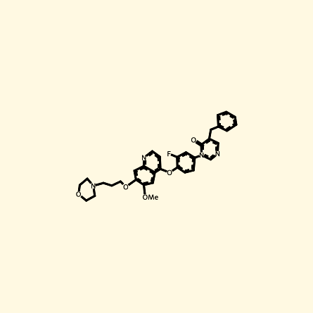 COc1cc2c(Oc3ccc(-n4cncc(Cc5ccccc5)c4=O)cc3F)ccnc2cc1OCCCN1CCOCC1